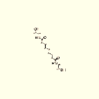 O=C(CCCCCCCC(=O)NCCO)NCCO